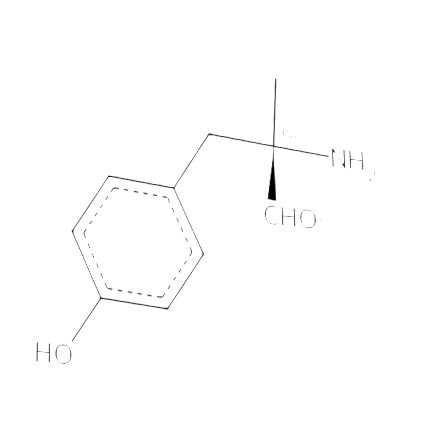 C[C@@](N)([C]=O)Cc1ccc(O)cc1